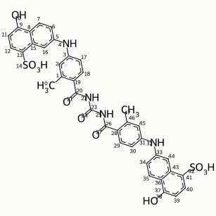 Cc1cc(Nc2ccc3c(O)ccc(S(=O)(=O)O)c3c2)ccc1C(=O)NC(=O)NC(=O)c1ccc(Nc2ccc3c(O)ccc(S(=O)(=O)O)c3c2)cc1C